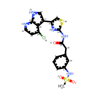 CS(=O)(=O)Nc1cccc(CC(=O)Nc2nc(-c3c[nH]c4nccc(Cl)c34)cs2)c1